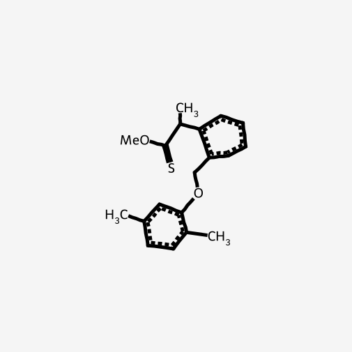 COC(=S)C(C)c1ccccc1COc1cc(C)ccc1C